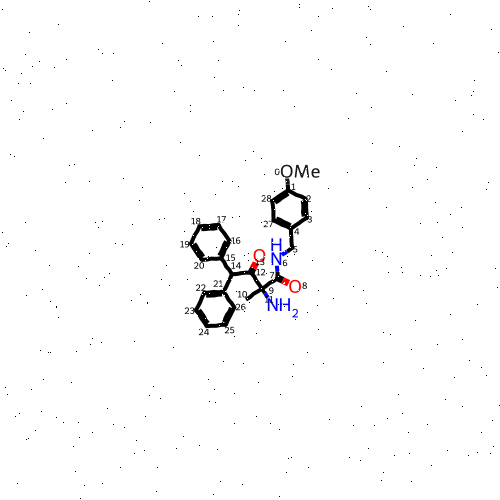 COc1ccc(CNC(=O)C(C)(N)C(=O)C(c2ccccc2)c2ccccc2)cc1